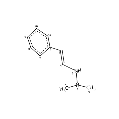 CN(C)NC=Cc1ccccc1